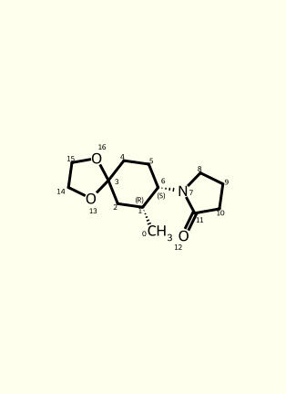 C[C@@H]1CC2(CC[C@@H]1N1CCCC1=O)OCCO2